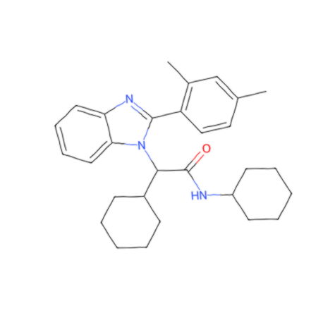 Cc1ccc(-c2nc3ccccc3n2C(C(=O)NC2CCCCC2)C2CCCCC2)c(C)c1